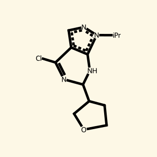 CC(C)n1ncc2c1NC(C1CCOC1)N=C2Cl